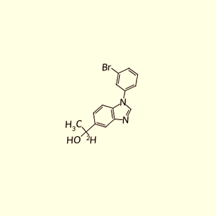 [2H]C(C)(O)c1ccc2c(c1)ncn2-c1cccc(Br)c1